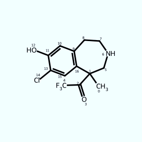 CC1(C(=O)C(F)(F)F)CNCCc2cc(O)c(Cl)cc21